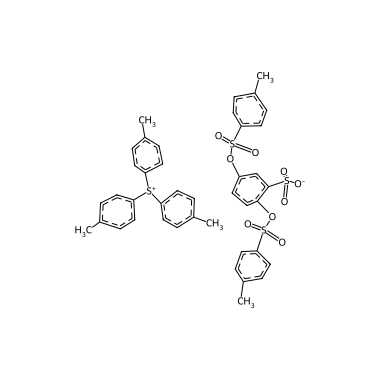 Cc1ccc(S(=O)(=O)Oc2ccc(OS(=O)(=O)c3ccc(C)cc3)c(S(=O)(=O)[O-])c2)cc1.Cc1ccc([S+](c2ccc(C)cc2)c2ccc(C)cc2)cc1